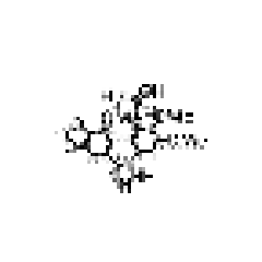 COc1cc(-c2[nH]nnc2-c2cc(OC)c3c(c2)OCO3)cc(OP(C)(=O)O)c1OC